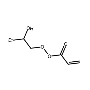 C=CC(=O)OOCC(O)CC